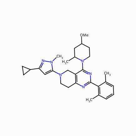 COC1CCN(c2nc(-c3c(C)cccc3C)nc3c2CN(c2cc(C4CC4)nn2C)CC3)C(C)C1